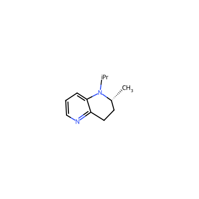 CC(C)N1c2cccnc2CC[C@H]1C